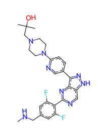 CNCc1cc(F)c(-c2ncc3[nH]nc(-c4ccc(N5CCN(CC(C)(C)O)CC5)nc4)c3n2)c(F)c1